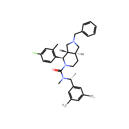 Cc1cc(F)ccc1[C@H]1[C@@H]2CN(Cc3ccccc3)C[C@H]2CCN1C(=O)N(C)[C@H](C)c1cc(C(F)(F)F)cc(C(F)(F)F)c1